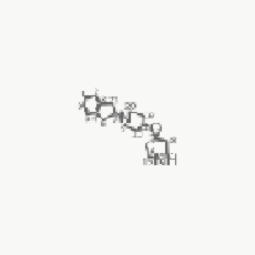 c1ccc2c(c1)CC(N1CCC(OC3CCNCC3)CC1)C2